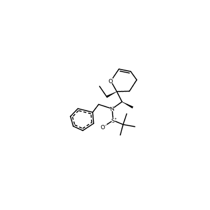 CC[C@]1([C@@H](C)N(Cc2ccccc2)[S+]([O-])C(C)(C)C)CCC=CO1